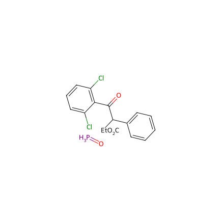 CCOC(=O)C(C(=O)c1c(Cl)cccc1Cl)c1ccccc1.O=[PH3]